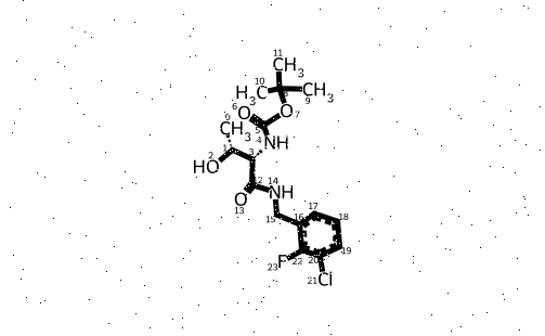 C[C@@H](O)[C@H](NC(=O)OC(C)(C)C)C(=O)NCc1cccc(Cl)c1F